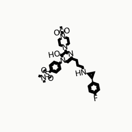 CN(C)S(=O)(=O)c1ccc(N2C=C(CCCN[C@@H]3C[C@H]3c3ccc(F)cc3)N=C(N3CCN(S(C)(=O)=O)CC3)C2O)cc1